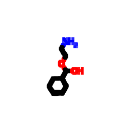 NCCOC(O)C1CC=CCC1